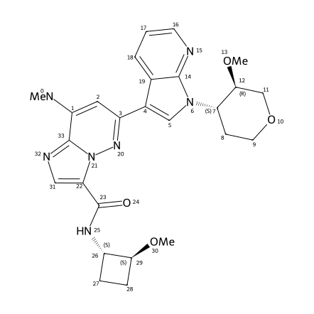 CNc1cc(-c2cn([C@H]3CCOC[C@@H]3OC)c3ncccc23)nn2c(C(=O)N[C@H]3CC[C@@H]3OC)cnc12